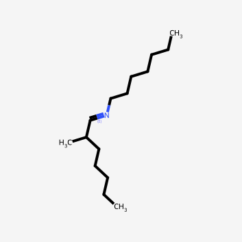 CCCCCCC/N=C/C(C)CCCCC